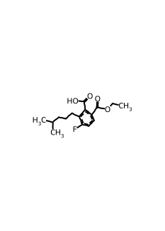 CCOC(=O)c1ccc(F)c(CCCC(C)C)c1C(=O)O